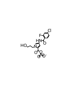 O=C(Nc1cc(C(=O)O[N+](=O)[O-])n(CCCO)c1)c1ccc(Cl)cc1F